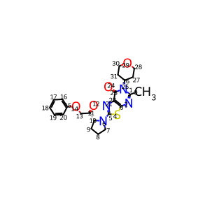 Cc1nc2sc(N3CCC[C@@H]3C(=O)COc3ccccc3)nc2c(=O)n1C1CCOCC1